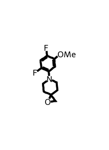 COc1cc(N2CCC3(CC2)CO3)c(F)cc1F